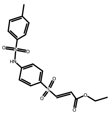 CCOC(=O)/C=C/S(=O)(=O)c1ccc(NS(=O)(=O)c2ccc(C)cc2)cc1